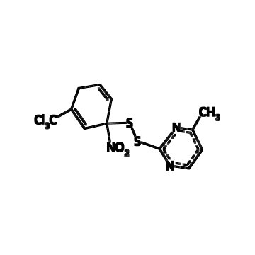 Cc1ccnc(SSC2([N+](=O)[O-])C=CCC(C(Cl)(Cl)Cl)=C2)n1